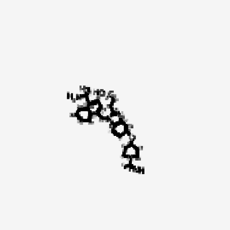 CC(=N)N1CCC(Oc2ccc3c(c2)nc(CCC(=O)O)n3Cc2ccc(C(=N)N)c3ccccc23)CC1